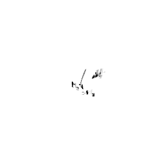 CN.I.[Ag].[BiH3]